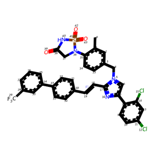 Cc1cc(Cn2cc(-c3ccc(Cl)cc3Cl)nc2/C=C/c2ccc(-c3cccc(C(F)(F)F)c3)cc2)ccc1N1CC(=O)NS1(=O)=O